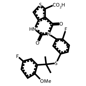 COc1ccc(F)cc1C(C)(C)Sc1ccc(F)c(-n2c(=O)[nH]c3csc(C(=O)O)c3c2=O)c1